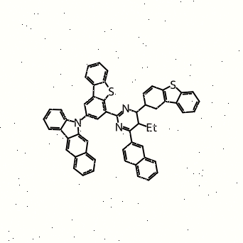 CCC1C(c2ccc3ccccc3c2)=NC(c2cc(-n3c4ccccc4c4cc5ccccc5cc43)cc3c2sc2ccccc23)=NC1C1C=Cc2sc3ccccc3c2C1